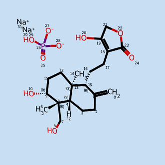 C=C1CC[C@@H]2[C@](C)(CO)[C@H](O)CC[C@@]2(C)[C@@H]1CCC1=C(O)COC1=O.O=P([O-])([O-])O.[Na+].[Na+]